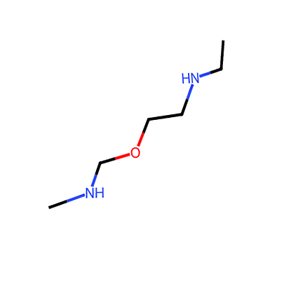 CCNCCOCNC